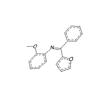 COc1ccccc1N=C(c1ccccc1)c1ccco1